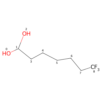 OC(O)CCCCCC(F)(F)F